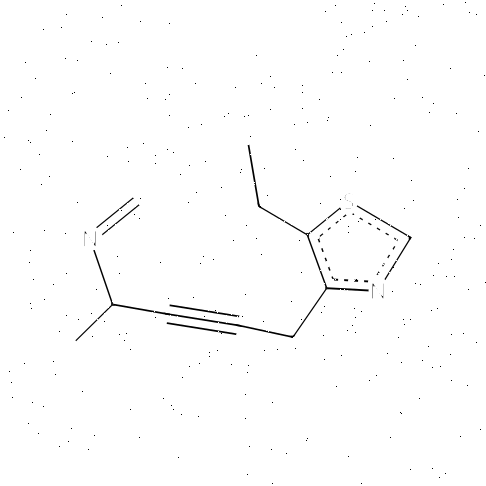 C=NC(C)C#CCc1ncsc1CC